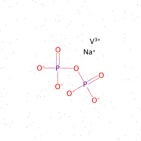 O=P([O-])([O-])OP(=O)([O-])[O-].[Na+].[V+3]